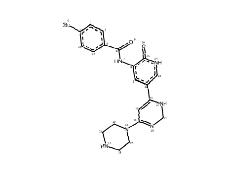 CC(C)(C)c1ccc(C(=O)Nc2cc(C3=CC(N4CCNCC4)=NCN3)c[nH]c2=O)cc1